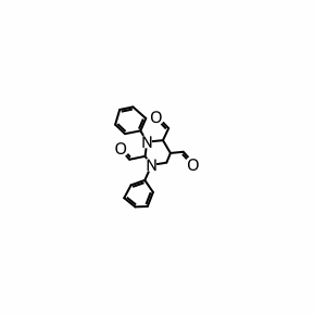 O=CC1CN(c2ccccc2)C(C=O)N(c2ccccc2)C1C=O